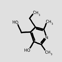 CCc1c(C)nc(C)c(O)c1CO